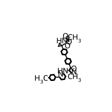 Cc1ccc(-c2cccc(Nc3c(C)noc3-c3ccc(-c4ccc(C5(C(=O)NS(C)(=O)=O)CC5)cc4)cc3)n2)cc1